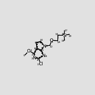 COc1nc(Cl)nc2c1ccn2COCC[Si](C)(C)C